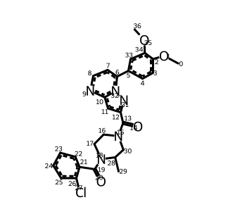 COc1ccc(-c2ccnc3cc(C(=O)N4CCN(C(=O)c5ccccc5Cl)C(C)C4)nn23)cc1OC